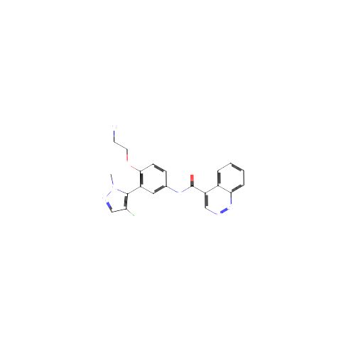 Cn1ncc(Cl)c1-c1cc(NC(=O)c2cnnc3ccccc23)ccc1OCCN